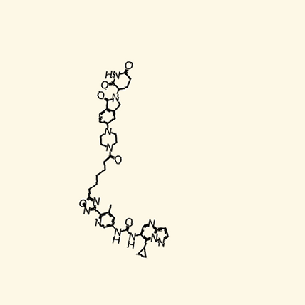 Cc1cc(NC(=O)Nc2cnc3ccnn3c2C2CC2)cnc1-c1noc(CCCCCC(=O)N2CCN(c3ccc4c(c3)CN(C3CCC(=O)NC3=O)C4=O)CC2)n1